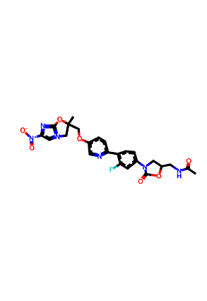 CC(=O)NCC1CN(c2ccc(-c3ccc(OCC4(C)Cn5cc([N+](=O)[O-])nc5O4)cn3)c(F)c2)C(=O)O1